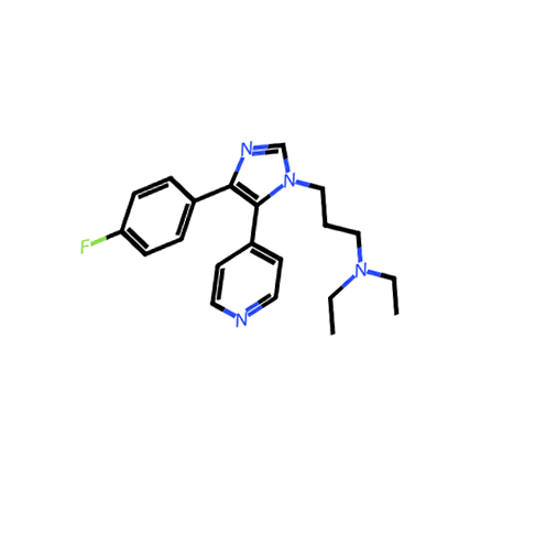 CCN(CC)CCCn1cnc(-c2ccc(F)cc2)c1-c1ccncc1